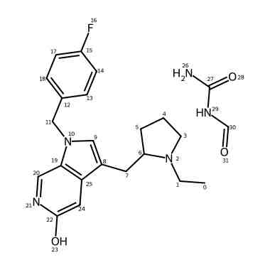 CCN1CCCC1Cc1cn(Cc2ccc(F)cc2)c2cnc(O)cc12.NC(=O)NC=O